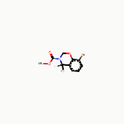 [2H]C1([2H])c2cccc(Br)c2OCN1C(=O)OC(C)(C)C